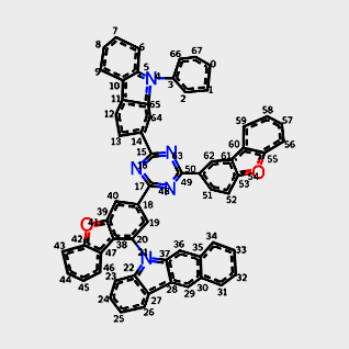 c1ccc(-n2c3ccccc3c3ccc(-c4nc(-c5cc(-n6c7ccccc7c7cc8ccccc8cc76)c6c(c5)oc5ccccc56)nc(-c5ccc6oc7ccccc7c6c5)n4)cc32)cc1